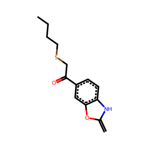 C=C1Nc2ccc(C(=O)CSCCCC)cc2O1